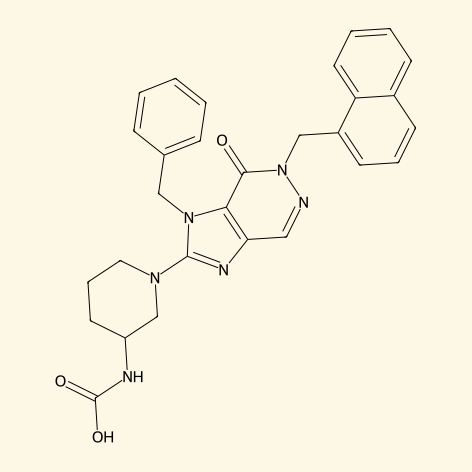 O=C(O)NC1CCCN(c2nc3cnn(Cc4cccc5ccccc45)c(=O)c3n2Cc2ccccc2)C1